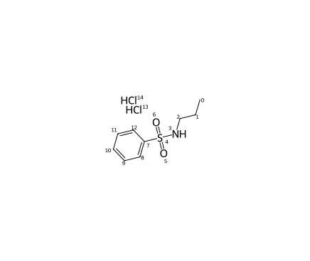 CCCNS(=O)(=O)c1ccccc1.Cl.Cl